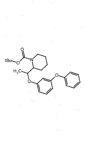 CC(Oc1cccc(Oc2ccccc2)c1)C1CCCCN1C(=O)OC(C)(C)C